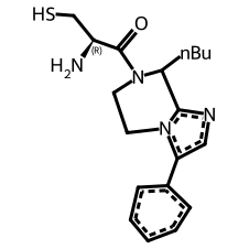 CCCCC1c2ncc(-c3ccccc3)n2CCN1C(=O)[C@@H](N)CS